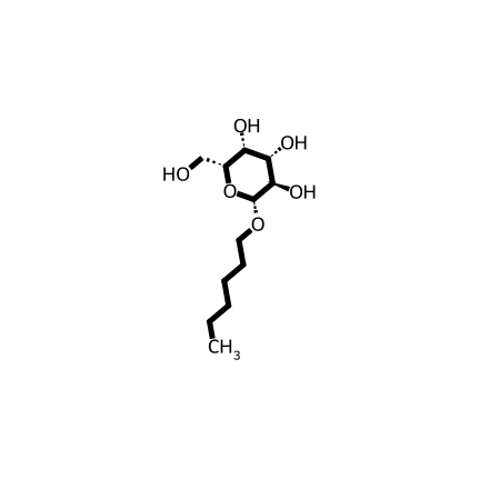 CCCCCCO[C@@H]1O[C@H](CO)[C@H](O)[C@H](O)[C@H]1O